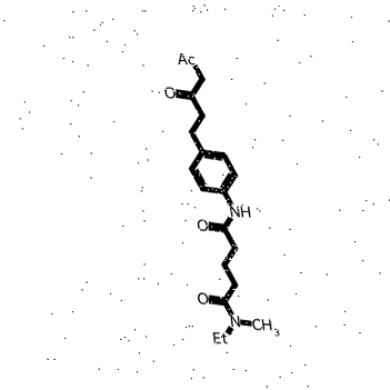 CCN(C)C(=O)CCCC(=O)Nc1ccc(CCC(=O)CC(C)=O)cc1